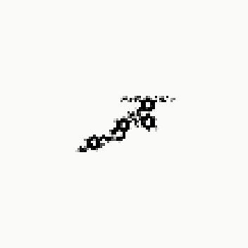 COc1ccc(CN(c2ccc(F)cc2)S(=O)(=O)c2ccc3c(c2)CCN(CCc2ccc(C(C)(C)C)cc2)C3)c(OC)c1